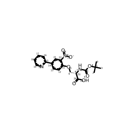 CC(C)(C)OC(=O)N[C@@H](COc1ccc(-c2ccccn2)cc1[N+](=O)[O-])C(=O)O